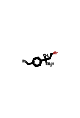 CC(C)Cc1ccc(C(C)(CCBr)C(=O)O)cc1